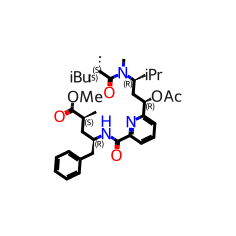 CC[C@H](C)[C@H](C)C(=O)N(C)[C@H](C[C@@H](OC(C)=O)c1cccc(C(=O)N[C@@H](Cc2ccccc2)C[C@H](C)C(=O)OC)n1)C(C)C